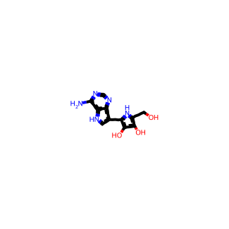 Nc1ncnc2c(-c3[nH]c(CO)c(O)c3O)c[nH]c12